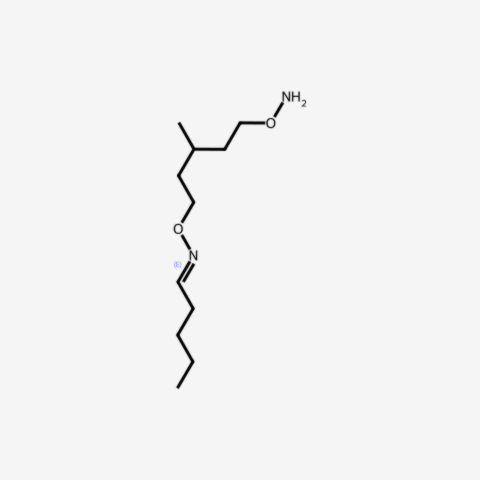 CCCC/C=N/OCCC(C)CCON